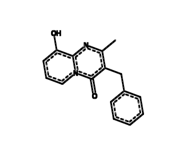 Cc1nc2c(O)cccn2c(=O)c1Cc1ccccc1